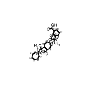 CCC(C)(OC1(C)C=CC=C(C(C)(C)OC2(C)C=CC=CC=C2)C=C1)c1cccc(C(=O)O)c1